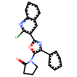 O=C1CCCN1c1oc(-c2cc3ccccc3nc2Cl)nc1-c1ccccc1